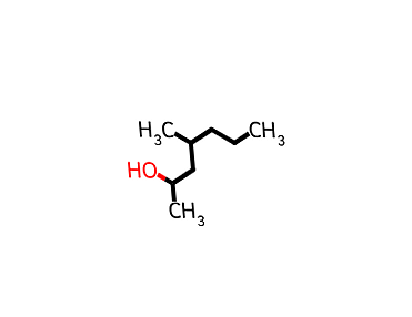 CCCC(C)CC(C)O